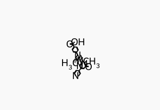 C[C@@H]1CN(c2ccc(C(=O)O)cc2)CCN1c1nc(-c2ccncc2)cc(=O)n1C